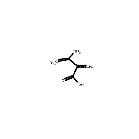 C=C(N)C(=C)C(=O)O